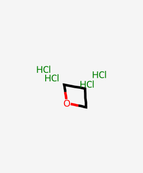 C1COC1.Cl.Cl.Cl.Cl